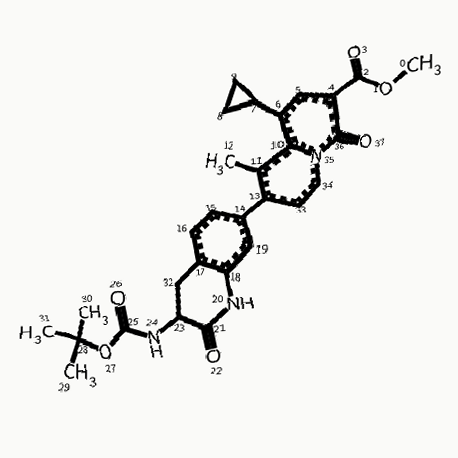 COC(=O)c1cc(C2CC2)c2c(C)c(-c3ccc4c(c3)NC(=O)C(NC(=O)OC(C)(C)C)C4)ccn2c1=O